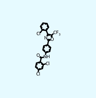 O=C(Nc1ccc(-c2nc(-c3ccccc3Cl)c(C(F)(F)F)o2)cc1)c1ccc(Cl)cc1Cl